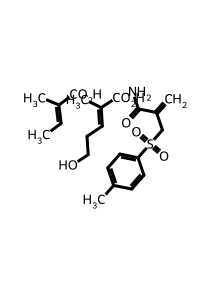 C=C(CS(=O)(=O)c1ccc(C)cc1)C(N)=O.CC(=CCCO)C(=O)O.CC=C(C)C(=O)O